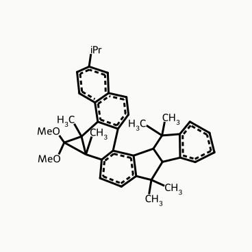 COC1(OC)C2(C)c3ccc4c(c3-c3ccc5cc(C(C)C)ccc5c3C12C)C1C(c2ccccc2C1(C)C)C4(C)C